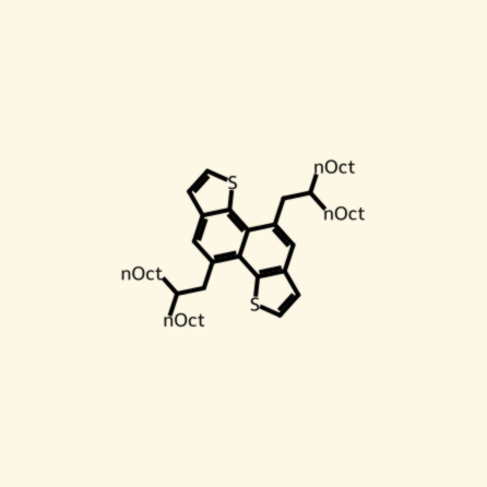 CCCCCCCCC(CCCCCCCC)Cc1cc2ccsc2c2c(CC(CCCCCCCC)CCCCCCCC)cc3ccsc3c12